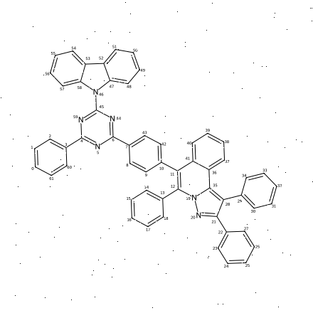 c1ccc(-c2nc(-c3ccc(-c4c(-c5ccccc5)n5nc(-c6ccccc6)c(-c6ccccc6)c5c5ccccc45)cc3)nc(-n3c4ccccc4c4ccccc43)n2)cc1